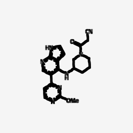 COc1nccc(-c2cnc3[nH]ccc3c2NC2CCCN(C(=O)CC#N)C2)n1